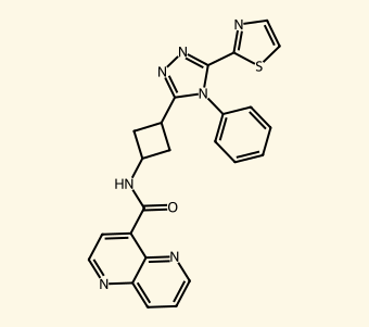 O=C(NC1CC(c2nnc(-c3nccs3)n2-c2ccccc2)C1)c1ccnc2cccnc12